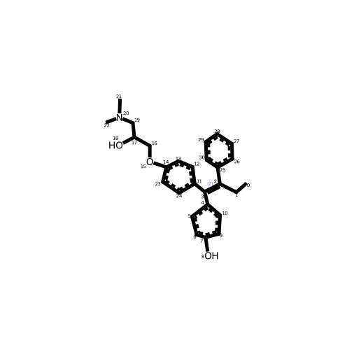 CC/C(=C(\c1ccc(O)cc1)c1ccc(OCC(O)CN(C)C)cc1)c1ccccc1